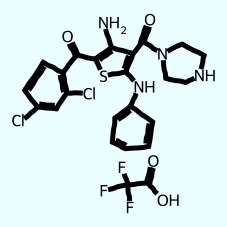 Nc1c(C(=O)c2ccc(Cl)cc2Cl)sc(Nc2ccccc2)c1C(=O)N1CCNCC1.O=C(O)C(F)(F)F